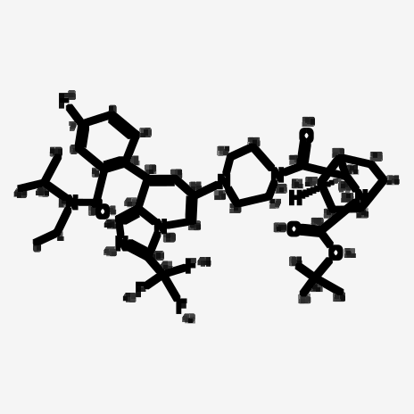 CCN(C(=O)c1cc(F)ccc1-c1cc(N2CCN(C(=O)[C@H]3C4CCC(CC4)N3C(=O)OC(C)(C)C)CC2)cn2c(C(F)(F)F)ncc12)C(C)C